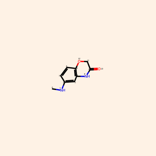 CNc1ccc2c(c1)NC(=O)CO2